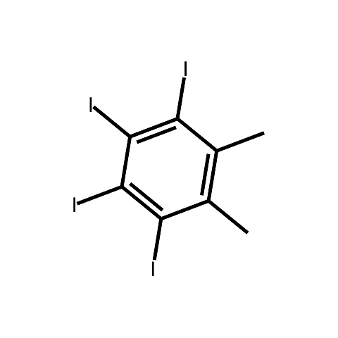 Cc1c(C)c(I)c(I)c(I)c1I